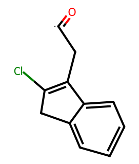 O=[C]CC1=C(Cl)Cc2ccccc21